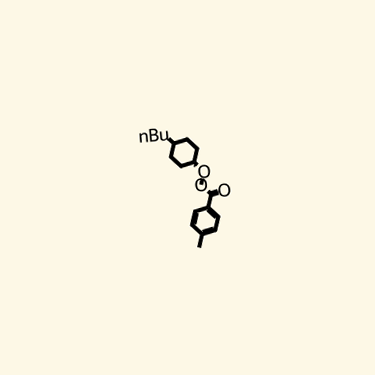 CCCCC1CC[C](OOC(=O)c2ccc(C)cc2)CC1